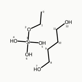 CCO[Si](O)(O)O.OCCCCO